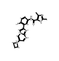 Cc1nc(C)c(C(=O)Nc2ccc(F)c(-c3cn4cc(N5CCC5)cnc4n3)c2)o1